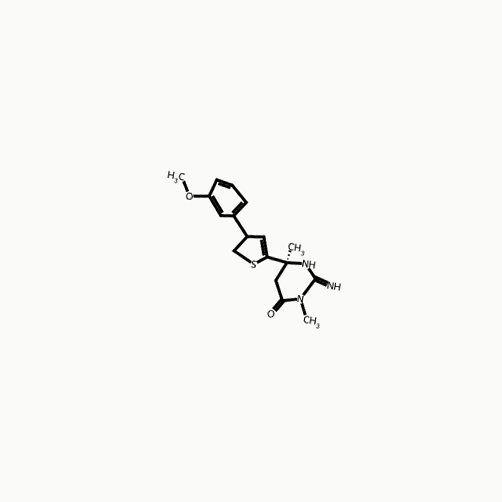 COc1cccc(C2C=C([C@]3(C)CC(=O)N(C)C(=N)N3)SC2)c1